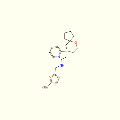 CCCCc1ccc(CNCC[C@@]2(c3ccccn3)CCOC3(CCCC3)C2)s1